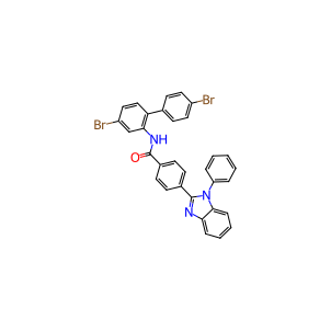 O=C(Nc1cc(Br)ccc1-c1ccc(Br)cc1)c1ccc(-c2nc3ccccc3n2-c2ccccc2)cc1